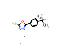 CC(C)(F)c1ccc(-c2nnc(S)o2)cc1